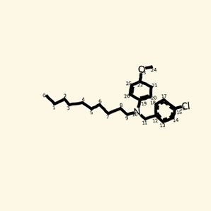 CCCCCCCCCCN(Cc1ccc(Cl)cc1)C1=CCC(OC)C=C1